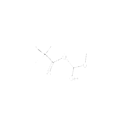 COC(O)OC(=O)C(C)(C)C